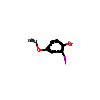 CCCCOc1ccc(Br)c(I)c1